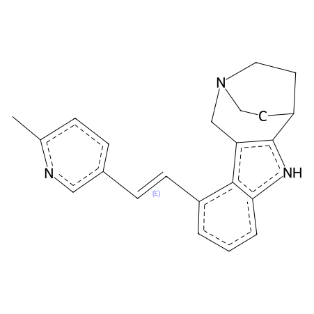 Cc1ccc(/C=C/c2cccc3[nH]c4c(c23)CN2CCC4CC2)cn1